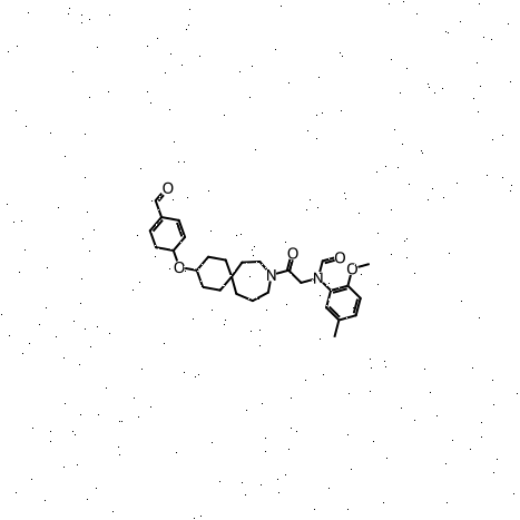 COc1ccc(C)cc1N(C=O)CC(=O)N1CCCC2(CCC(OC3C=CC(C=O)=CC3)CC2)CC1